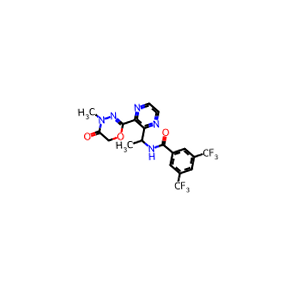 CC(NC(=O)c1cc(C(F)(F)F)cc(C(F)(F)F)c1)c1nccnc1C1=NN(C)C(=O)CO1